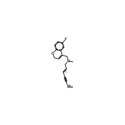 CN(C/C=C/C#CC(C)(C)C)CC1=CCOc2ccc(F)cc21